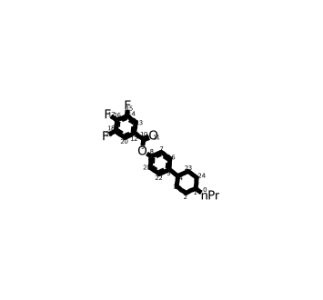 CCCC1CCC(c2ccc(OC(=O)c3cc(F)c(F)c(F)c3)cc2)CC1